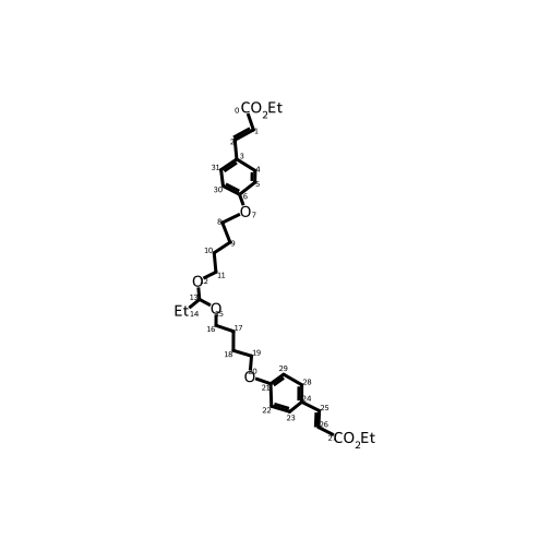 CCOC(=O)C=Cc1ccc(OCCCCOC(CC)OCCCCOc2ccc(C=CC(=O)OCC)cc2)cc1